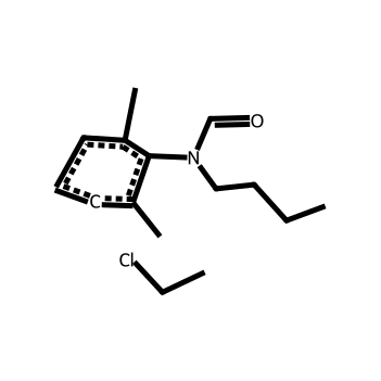 CCCCN(C=O)c1c(C)cccc1C.CCCl